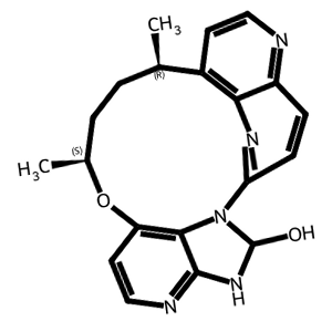 C[C@@H]1CC[C@H](C)Oc2ccnc3c2N(c2ccc4nccc1c4n2)C(O)N3